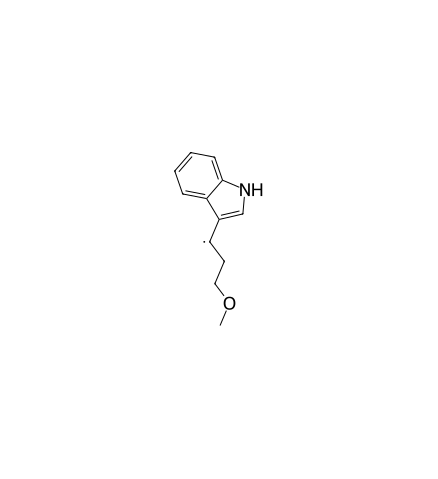 COCC[CH]c1c[nH]c2ccccc12